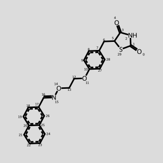 O=C1NC(=O)C(Cc2ccc(OCCON=Cc3ccc4ccccc4c3)cc2)S1